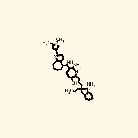 CCCC1(CCCC2=C(C)C=C=C(C(=N)C3CCCCc4nc(-c5cc(C)n(C)c5)ccc43)C(N)=N2)Cc2ccccc2[C@H]1N